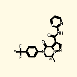 C[C@H]1CN(c2ccc(C(F)(F)F)cc2)C(=O)c2c(C(=O)Nc3ncccn3)cnn21